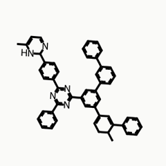 CC1=CC=NC(c2ccc(-c3nc(-c4ccccc4)nc(-c4cc(C5=CCC(C)C(c6ccccc6)=C5)cc(-c5cccc(-c6ccccc6)c5)c4)n3)cc2)N1